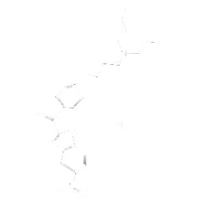 CCCCN(CCCC)CCCOc1ccc(C(=O)c2cc3cc([N+](=O)[O-])ccc3o2)cc1.Cl